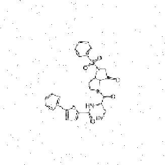 CC(C)CC(NC(=O)c1ccc(-c2ccccc2)s1)C(=O)N1CCC2C1C(=O)CN2S(=O)(=O)c1ccccc1